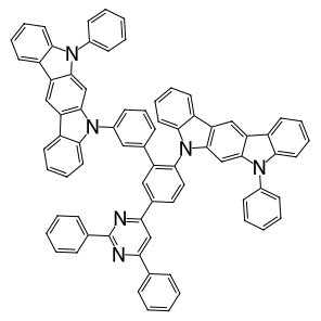 c1ccc(-c2cc(-c3ccc(-n4c5ccccc5c5cc6c7ccccc7n(-c7ccccc7)c6cc54)c(-c4cccc(-n5c6ccccc6c6cc7c8ccccc8n(-c8ccccc8)c7cc65)c4)c3)nc(-c3ccccc3)n2)cc1